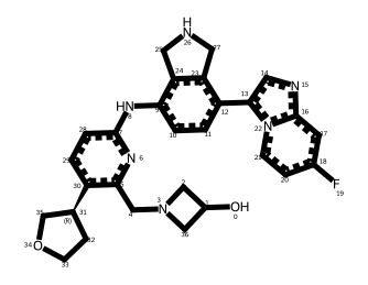 OC1CN(Cc2nc(Nc3ccc(-c4cnc5cc(F)ccn45)c4c3CNC4)ccc2[C@H]2CCOC2)C1